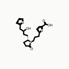 O=C(O)c1ccc(CCCN2C(=O)CC[C@@H]2CCC(O)Cc2cccs2)s1